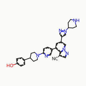 N#Cc1cnn2cc(-c3cnn(C4CCNCC4)c3)cc(-c3ccc(N4CCC(c5ccc(O)cc5)CC4)nc3)c12